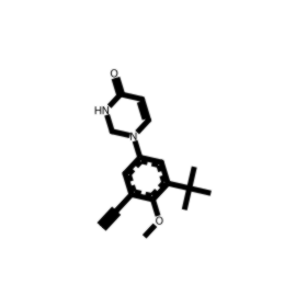 C#Cc1cc(N2C=CC(=O)NC2)cc(C(C)(C)C)c1OC